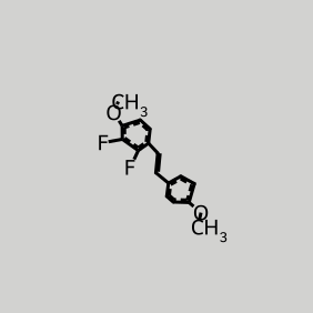 COc1ccc(C=Cc2ccc(OC)c(F)c2F)cc1